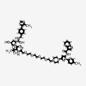 Cc1ccc(-n2nc(N3CCN(CCOCCOCCOCCOCC(=O)N[C@H](C(=O)N4C[C@H](O)C[C@H]4C(O)NCc4ccc(-c5scnc5C)cc4)C(C)(C)C)CC3)cc2NC(=O)c2cnn3cccnc23)nc1